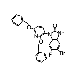 Cn1c(=O)n(-c2ccc(OCc3ccccc3)nc2OCc2ccccc2)c2cc(F)c(Br)cc21